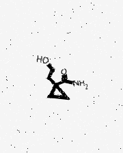 NC(=O)C1([CH]CO)CC1